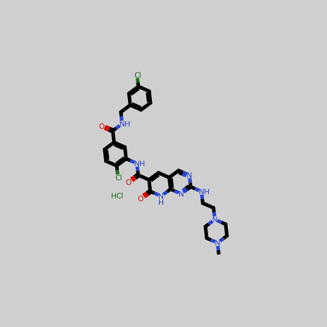 CN1CCN(CCNc2ncc3cc(C(=O)Nc4cc(C(=O)NCc5cccc(Cl)c5)ccc4Cl)c(=O)[nH]c3n2)CC1.Cl